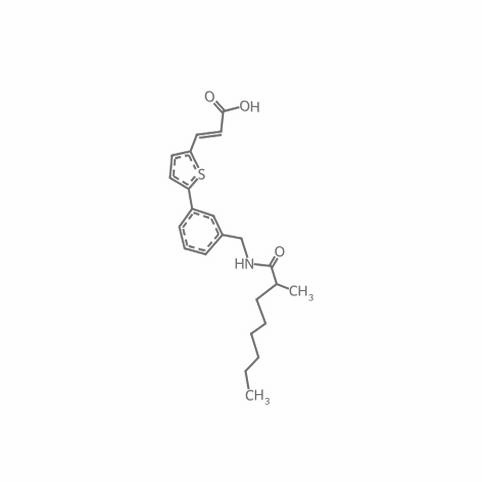 CCCCCCC(C)C(=O)NCc1cccc(-c2ccc(C=CC(=O)O)s2)c1